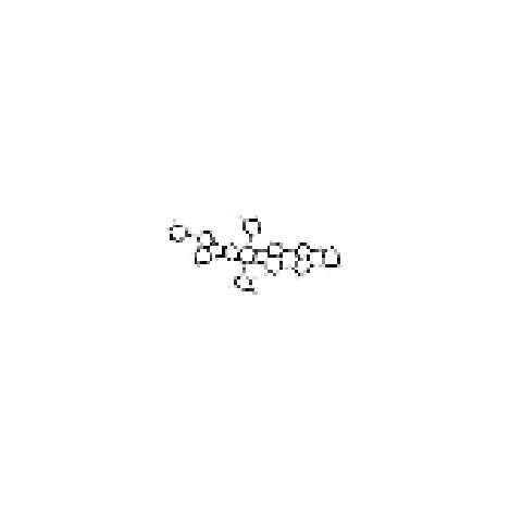 Cc1cc(O)cc(-c2ccc3c4cc5c(-c6cccc(C(C)(C)C)c6)c6c7ccc8c9ccc%10c%11c(ccc(c%12ccc(c6c(-c6cccc(C(C)(C)C)c6)c5cc4c4cccc2c43)c7c%128)c%119)-c2ccccc2-%10)c1